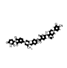 CC1CN(c2ccc3c(c2)C(=O)N(C2CCC(=O)NC2=O)C3=O)CCN1CC1CCC(NC(=O)c2ccc(Nc3ncnc4c3CCN(c3ccc(C#N)c(Cl)c3)C4)nc2F)CC1